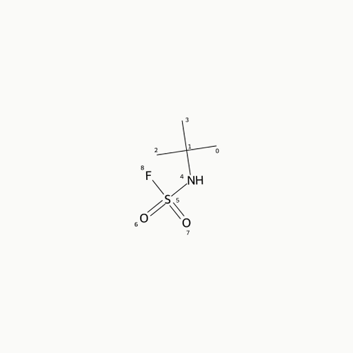 CC(C)(C)NS(=O)(=O)F